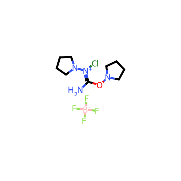 F[B-](F)(F)F.NC(ON1CCCC1)=[N+](Cl)N1CCCC1